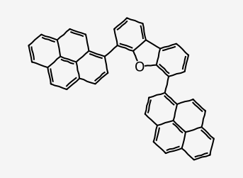 c1cc2ccc3ccc(-c4cccc5c4oc4c(-c6ccc7ccc8cccc9ccc6c7c89)cccc45)c4ccc(c1)c2c34